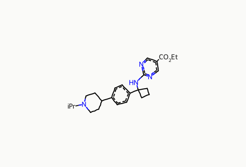 CCOC(=O)c1cnc(NC2(c3ccc(C4CCN(C(C)C)CC4)cc3)CCC2)nc1